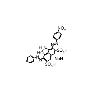 Nc1c(N=Nc2ccc([N+](=O)[O-])cc2)c(S(=O)(=O)O)cc2cc(S(=O)(=O)O)c(N=Nc3ccccc3)c(O)c12.[NaH]